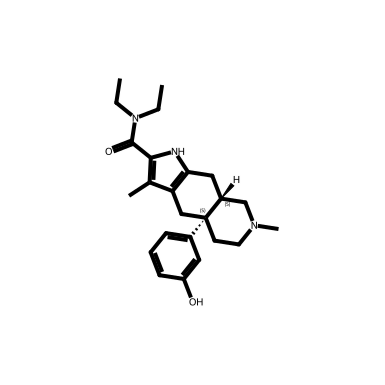 CCN(CC)C(=O)c1[nH]c2c(c1C)C[C@]1(c3cccc(O)c3)CCN(C)C[C@H]1C2